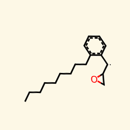 CCCCCCCCCc1ccccc1[CH]C1CO1